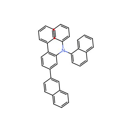 c1ccc(-c2ccc(-c3ccc4ccccc4c3)cc2N(c2ccccc2)c2cccc3ccccc23)cc1